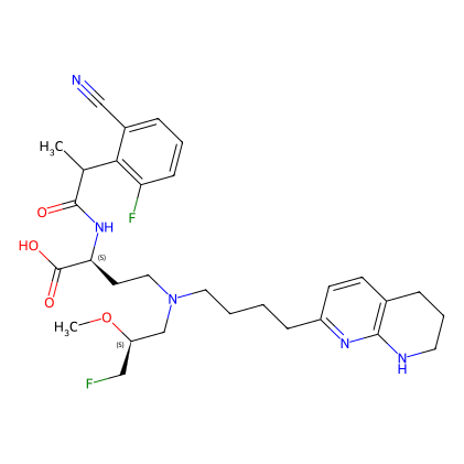 CO[C@H](CF)CN(CCCCc1ccc2c(n1)NCCC2)CC[C@H](NC(=O)C(C)c1c(F)cccc1C#N)C(=O)O